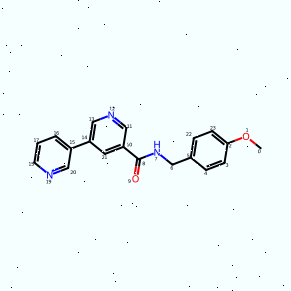 COc1ccc(CNC(=O)c2cncc(-c3cccnc3)c2)cc1